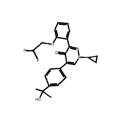 CC(C)(O)c1ccc(-c2cn(C3CC3)nc(-c3ccccc3OCC(F)F)c2=O)cc1